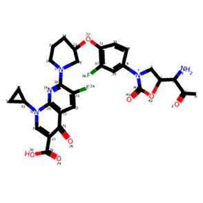 CC(=O)C(N)C1CN(c2ccc(OC3CCCN(c4nc5c(cc4F)c(=O)c(C(=O)O)cn5C4CC4)C3)c(F)c2)C(=O)O1